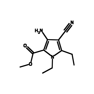 CCc1c(C#N)c(N)c(C(=O)OC)n1CC